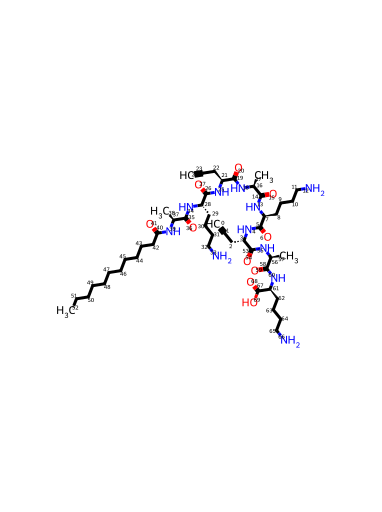 C#CC[C@H](NC(=O)[C@H](CCCCN)NC(=O)[C@H](C)NC(=O)[C@H](CC#C)NC(=O)[C@H](CCCCN)NC(=O)[C@H](C)NC(=O)CCCCCCCCCCC)C(=O)N[C@@H](C)C(=O)N[C@@H](CCCCN)C(=O)O